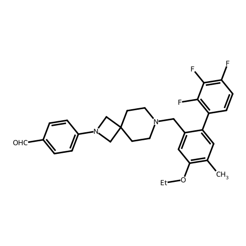 CCOc1cc(CN2CCC3(CC2)CN(c2ccc(C=O)cc2)C3)c(-c2ccc(F)c(F)c2F)cc1C